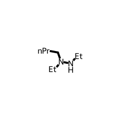 [CH2]CNN(CC)CCCC